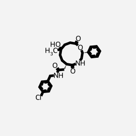 CC1(O)CCC(=O)O[C@H](c2ccccc2)CNC(=O)[C@H](CC(=O)NCc2ccc(Cl)cc2)CC1